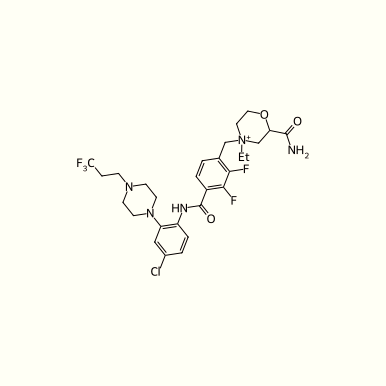 CC[N+]1(Cc2ccc(C(=O)Nc3ccc(Cl)cc3N3CCN(CCC(F)(F)F)CC3)c(F)c2F)CCOC(C(N)=O)C1